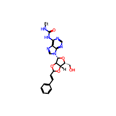 CCNC(=O)Nc1ncnc2c1ncn2[C@@H]1O[C@H](CO)[C@@H]2OC(/C=C/c3ccccc3)OC21